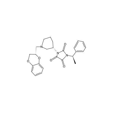 C[C@H](c1ccccc1)N1C(=O)C(=O)N([C@H]2CCCN(C[C@H]3COc4ccccc4O3)C2)C1=O